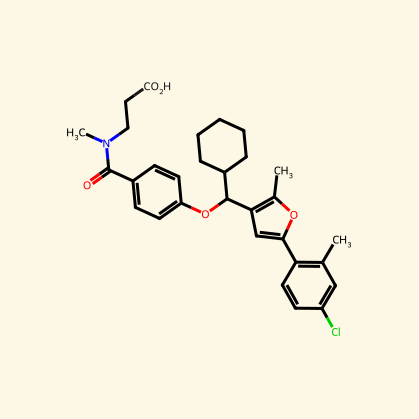 Cc1cc(Cl)ccc1-c1cc(C(Oc2ccc(C(=O)N(C)CCC(=O)O)cc2)C2CCCCC2)c(C)o1